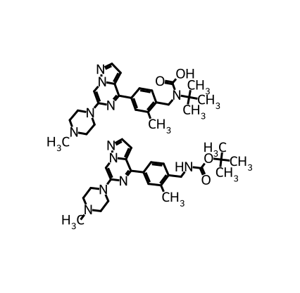 Cc1cc(-c2nc(N3CCN(C)CC3)cn3nccc23)ccc1CN(C(=O)O)C(C)(C)C.Cc1cc(-c2nc(N3CCN(C)CC3)cn3nccc23)ccc1CNC(=O)OC(C)(C)C